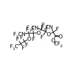 O=C(OC(F)(F)F)C(F)(NC(F)(F)F)OC(F)(F)C(F)(NC(F)(F)F)OC(F)(F)C(F)(NC(F)(F)F)OC(F)(F)C(F)(F)C(F)(F)F